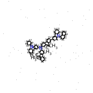 CC1(C)c2cc(-c3ccc4c(c3)c3ccccc3n4-c3cccc4ccccc34)ccc2-c2ccc(N(C3=CC4C(C=C3)c3ccccc3C4(C)C)c3ccc4c(c3)c3ccccc3n4-c3ccccc3)cc21